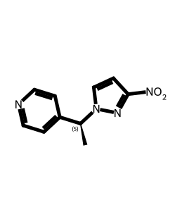 C[C@@H](c1ccncc1)n1ccc([N+](=O)[O-])n1